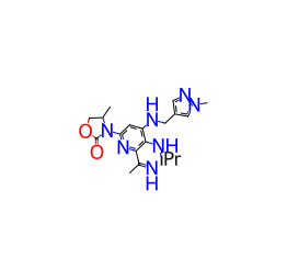 CC(=N)c1nc(N2C(=O)OCC2C)cc(NCc2cnn(C)c2)c1NC(C)C